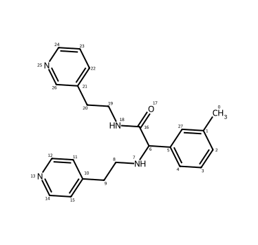 Cc1cccc(C(NCCc2ccncc2)C(=O)NCCc2cccnc2)c1